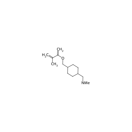 C=C(C)C(=C)OCC1CCC(CNC)CC1